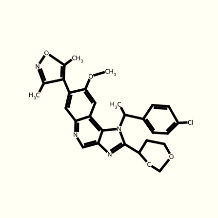 COc1cc2c(cc1-c1c(C)noc1C)ncc1nc(C3CCOCC3)n(C(C)c3ccc(Cl)cc3)c12